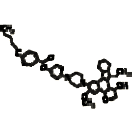 CCCCCCc1ccc(C(=O)Oc2ccc(N3CCN(c4cc5c(cc4OC)c4occc(O)c4c4c(CC)c6ccccc6c54)CC3)cc2)cc1